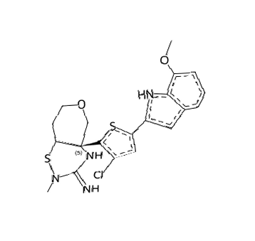 COc1cccc2cc(-c3cc(Cl)c([C@]45COCCC4SN(C)C(=N)N5)s3)[nH]c12